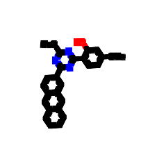 COc1ccc(-c2nc(OC)nc(-c3ccc4cc5ccccc5cc4c3)n2)c(O)c1